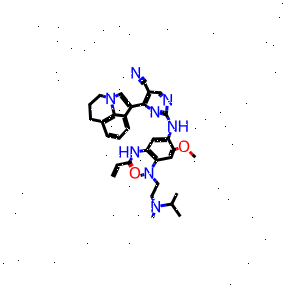 C=CC(=O)Nc1cc(Nc2ncc(C#N)c(-c3cn4c5c(cccc35)CCC4)n2)c(OC)cc1N(C)CCN(C)C(C)C